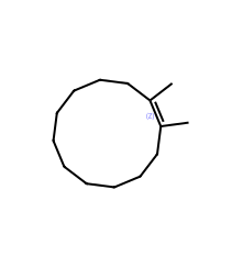 C/C1=C(\C)CCCCCCCCCC1